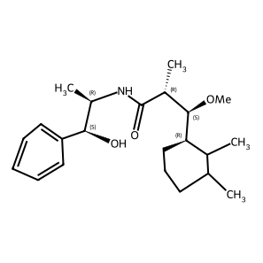 CO[C@@H]([C@@H]1CCCC(C)C1C)[C@@H](C)C(=O)N[C@H](C)[C@@H](O)c1ccccc1